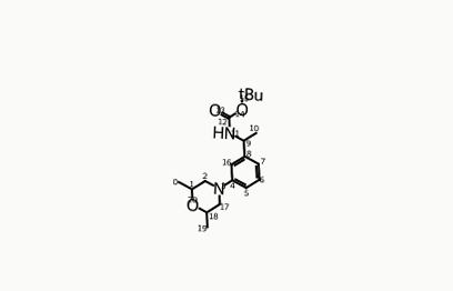 CC1CN(c2cccc(C(C)NC(=O)OC(C)(C)C)c2)CC(C)O1